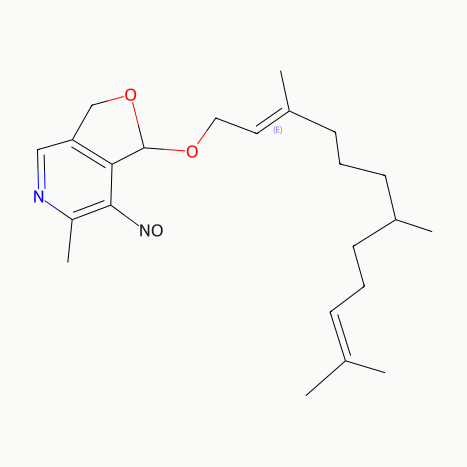 CC(C)=CCCC(C)CCC/C(C)=C/COC1OCc2cnc(C)c(N=O)c21